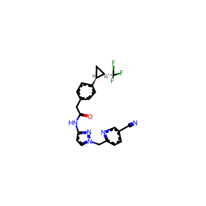 N#Cc1ccc(Cn2ccc(NC(=O)Cc3ccc([C@H]4C[C@@H]4C(F)(F)F)cc3)n2)nc1